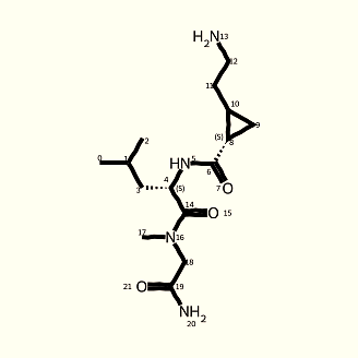 CC(C)C[C@H](NC(=O)[C@H]1CC1CCN)C(=O)N(C)CC(N)=O